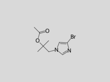 CC(=O)OC(C)(C)Cn1cnc(Br)c1